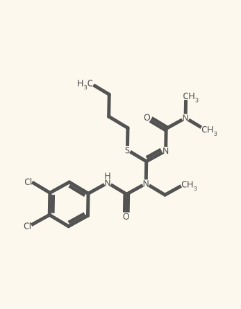 CCCCSC(=NC(=O)N(C)C)N(CC)C(=O)Nc1ccc(Cl)c(Cl)c1